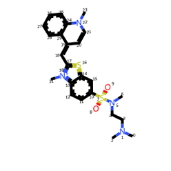 CN(C)CCN(C)S(=O)(=O)c1ccc2c(c1)sc(/C=C1\C=CN(C)c3ccccc31)[n+]2C